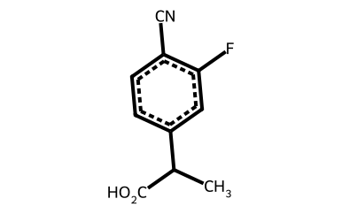 CC(C(=O)O)c1ccc(C#N)c(F)c1